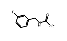 CCCC(=O)NCc1cccc(F)c1